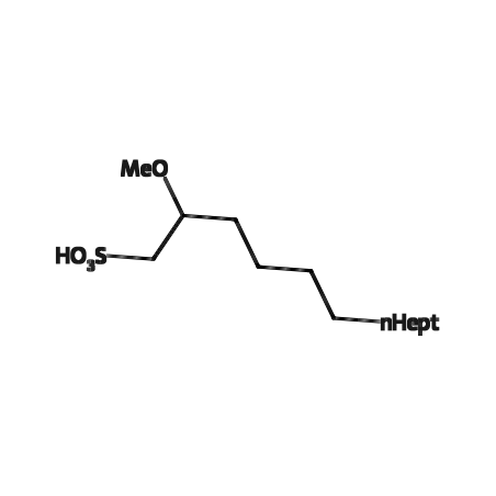 CCCCCCCCCCCC(CS(=O)(=O)O)OC